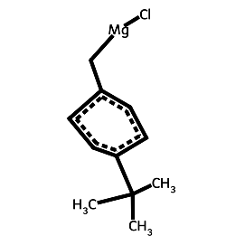 CC(C)(C)c1ccc([CH2][Mg][Cl])cc1